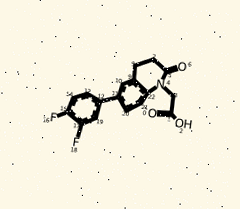 O=C(O)CN1C(=O)CCc2cc(-c3ccc(F)c(F)c3)ccc21